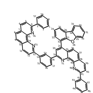 c1ccc(-c2ccc3ccc4ccc(-c5cccc(-c6cc(-c7cccc8c7oc7ccccc78)c7ccc8ccc(-c9ccccc9)nc8c7n6)c5)nc4c3n2)cc1